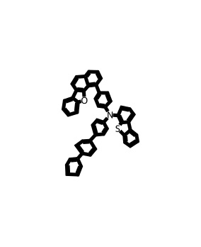 c1ccc(-c2ccc(-c3ccc(N(c4ccc(-c5cccc6ccc7c8ccccc8oc7c56)cc4)c4cccc5c4sc4ccccc45)cc3)cc2)cc1